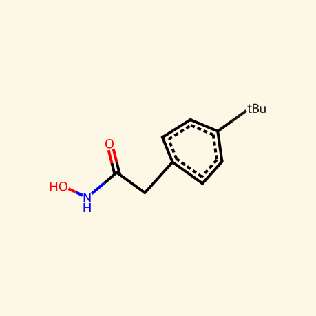 CC(C)(C)c1ccc(CC(=O)NO)cc1